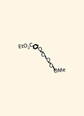 CCOC(=O)c1ccc(OCCOCCOCCOCCOC)cc1